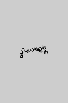 CCC(CSc1ccccc1)(c1ccc(S(=O)(=O)NC(=O)c2ccc(N3CCN(Cc4ccccc4-c4cc5ccccc5o4)CC3)cc2)c(N)c1[N+](=O)[O-])N(C)C